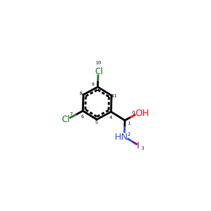 OC(NI)c1cc(Cl)cc(Cl)c1